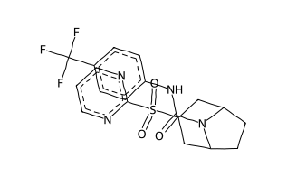 O=C(Nc1ccc(C(F)(F)F)cc1)N1C2CCC1CC(S(=O)(=O)c1ncccn1)C2